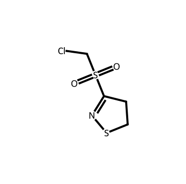 O=S(=O)(CCl)C1=NSCC1